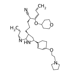 C=C/C=N\C1N[C@H](C2=CC=C(OCCN3CCCC3)CC2)C[C@@H]1CCC[C@@H](C#N)/C(=C\C=C)OC1CCOCC1